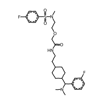 CN(C)C(c1cccc(F)c1)C1CCC(CCNC(=O)COCCN(C)S(=O)(=O)c2ccc(F)cc2)CC1